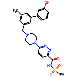 CC(C)(C)S(=O)(=O)NC(=O)c1ccc(N2CCN(Cc3cc(-c4cccc(O)c4)cc(C(F)(F)F)c3)CC2)nn1